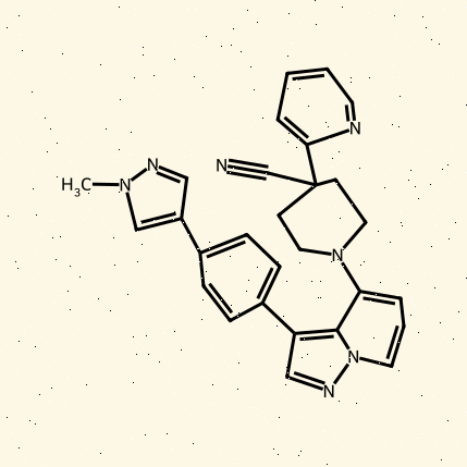 Cn1cc(-c2ccc(-c3cnn4cccc(N5CCC(C#N)(c6ccccn6)CC5)c34)cc2)cn1